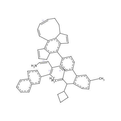 C=C(\C=C/C(/C=C\N)=C(\C)c1ccc2ccccc2c1)C(c1ccc(C)cc1-c1ccc(-c2c3c4c(c5c2CC=C5)C=C/C=C\CCC4C=C3)cc1)C1CCC1